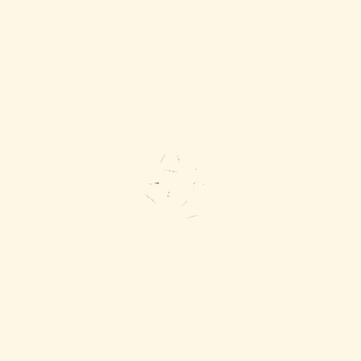 C1=CC[C]([Ti+2](=[C]2C3CC4CC(C3)CC2C4)[CH]2c3cc(C4CCCCC4)ccc3-c3ccc(C4CCCCC4)cc32)=C1.[Cl-].[Cl-]